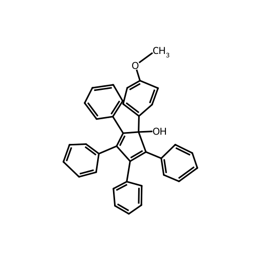 COc1ccc(C2(O)C(c3ccccc3)=C(c3ccccc3)C(c3ccccc3)=C2c2ccccc2)cc1